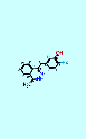 C=C1NN=C(Cc2ccc(F)c(O)c2)c2ccccc21